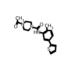 CC(=O)N1CCN(C(=O)Nc2cc(-c3cccs3)ccc2C)CC1